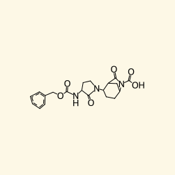 O=C(NC1CCN(C2CCC3CC2C(=O)N3C(=O)O)C1=O)OCc1ccccc1